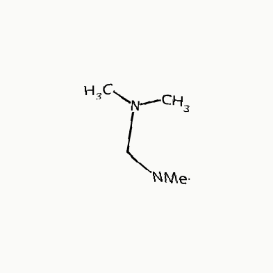 C[N]CN(C)C